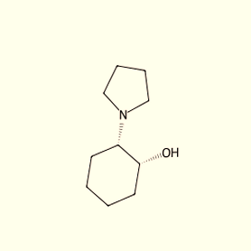 O[C@@H]1CCCC[C@@H]1N1CCCC1